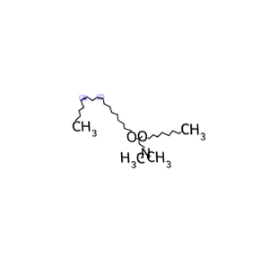 CCCCC/C=C\C/C=C\CCCCCCCCOC(CCN(C)C)OCCCCCCCC